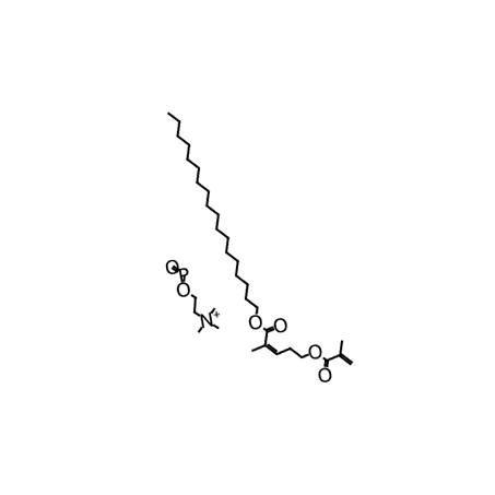 C=C(C)C(=O)OCCC=C(C)C(=O)OCCCCCCCCCCCCCCCCCC.C[N+](C)(C)CCOP=O